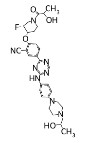 CC(O)CN1CCN(c2ccc(Nc3ncnc(-c4ccc(O[C@H]5CCN(C(=O)C(C)O)C[C@H]5F)c(C#N)c4)n3)cc2)CC1